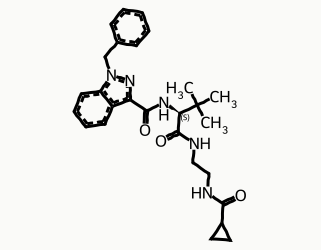 CC(C)(C)[C@H](NC(=O)c1nn(Cc2ccccc2)c2ccccc12)C(=O)NCCNC(=O)C1CC1